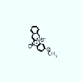 COc1ccc2c(c1)[N+]1([O-])Cc3ccccc3C=C1[N+]2=O